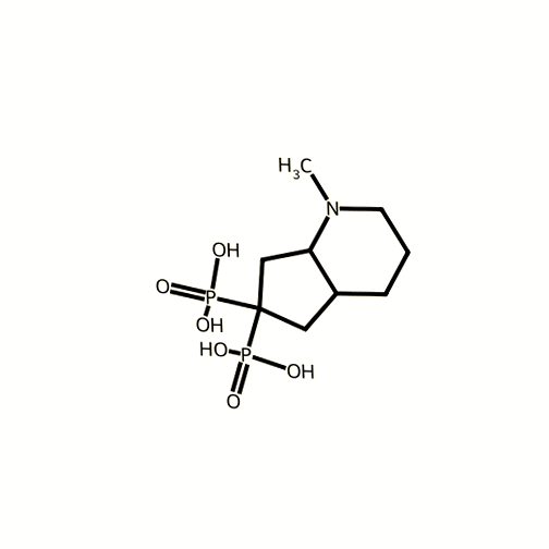 CN1CCCC2CC(P(=O)(O)O)(P(=O)(O)O)CC21